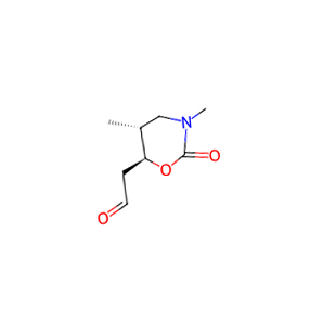 C[C@@H]1CN(C)C(=O)O[C@H]1CC=O